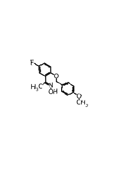 COc1ccc(COc2ccc(F)cc2C(C)=NO)cc1